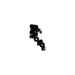 CCS(=O)(Cc1ccc(C(=O)NC2CCC(c3nc4cc(Cl)ccc4o3)CC2)o1)=NC(=O)C(F)(F)F